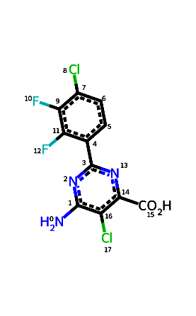 Nc1nc(-c2ccc(Cl)c(F)c2F)nc(C(=O)O)c1Cl